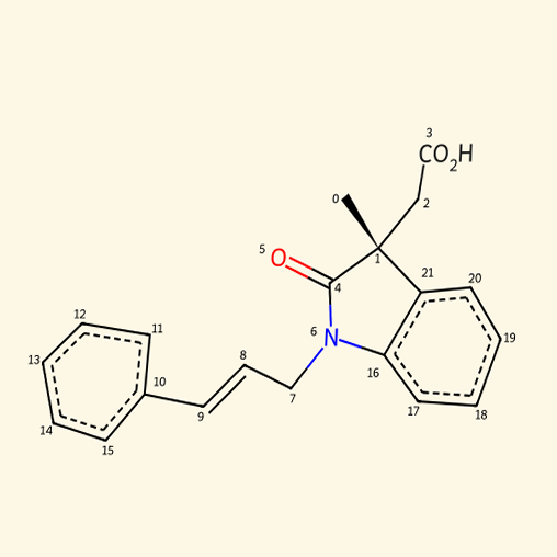 C[C@]1(CC(=O)O)C(=O)N(C/C=C/c2ccccc2)c2ccccc21